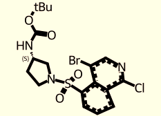 CC(C)(C)OC(=O)N[C@H]1CCN(S(=O)(=O)c2cccc3c(Cl)ncc(Br)c23)C1